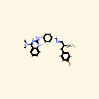 CC(=O)NC(CNC[C@H]1CC[C@@H](Nc2nc(N(C)C)c3ccccc3n2)CC1)Cc1ccc(Br)cc1